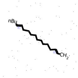 [CH2]/C=C/CCCCCCCCC/C=C/CCCC